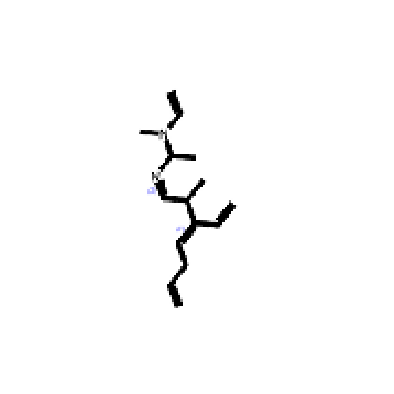 C=CC/C=C(\C=C)C(C)/C=N\C(C)N(C)C=C